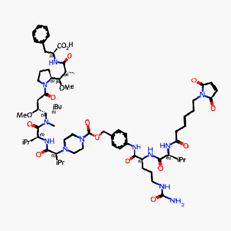 CC[C@H](C)[C@@H](C(CC(=O)N1CCC[C@H]1[C@H](OC)[C@@H](C)C(=O)N[C@@H](Cc1ccccc1)C(=O)O)OC)N(C)C(=O)[C@@H](NC(=O)[C@H](C(C)C)N1CCN(C(=O)OCc2ccc(NC(=O)[C@H](CCCNC(N)=O)NC(=O)[C@@H](NC(=O)CCCCCN3C(=O)C=CC3=O)C(C)C)cc2)CC1)C(C)C